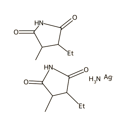 CCC1C(=O)NC(=O)C1C.CCC1C(=O)NC(=O)C1C.N.[Ag]